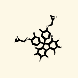 Cc1cc(C2(c3ccc(OCC4CO4)c(C)c3)c3c(F)c(F)c(F)c(F)c3-c3c(F)c(F)c(F)c(F)c32)ccc1OCC1CO1